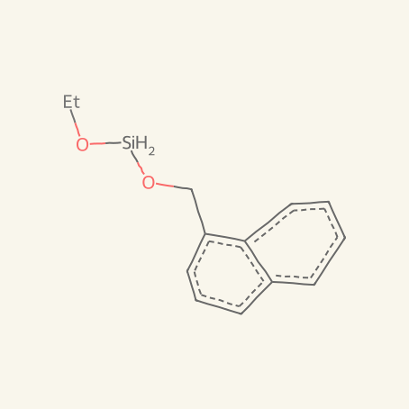 CCO[SiH2]OCc1cccc2ccccc12